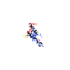 CN1CCN(CC(=O)NCc2cn(CC3C(NC(=O)/C(=N\OC(C)(C)C(=O)O)c4csc(N)n4)C(=O)N3S)nn2)CC1